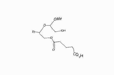 CCC(COC(=O)CCCC(=O)O)OC(CO)OC